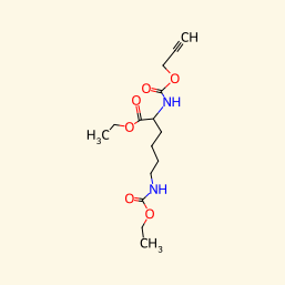 C#CCOC(=O)NC(CCCCNC(=O)OCC)C(=O)OCC